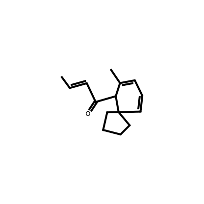 CC=CC(=O)C1C(C)=CC=CC12CCCC2